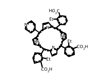 CCc1c(C(=O)O)cccc1-c1c2nc(c(-c3cccc(C(=O)O)c3CC)c3ccc([nH]3)c(-c3cccc(C(=O)O)c3CC)c3nc(c(-c4ccncc4)c4ccc1[nH]4)C=C3)C=C2